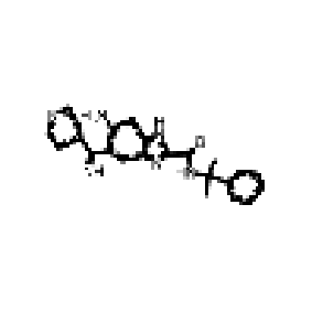 CC(C)(NC(=O)c1nc2cc(C(=N)c3ccncc3)c(N)cc2[nH]1)c1ccccc1